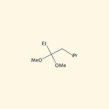 CCC(CC(C)C)(OC)OC